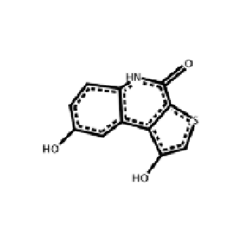 O=c1[nH]c2ccc(O)cc2c2c(O)csc12